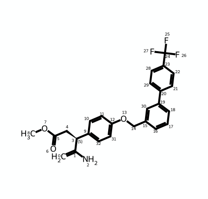 C=C(N)[C@@H](CC(=O)OC)c1ccc(OCc2cccc(-c3ccc(C(F)(F)F)cc3)c2)cc1